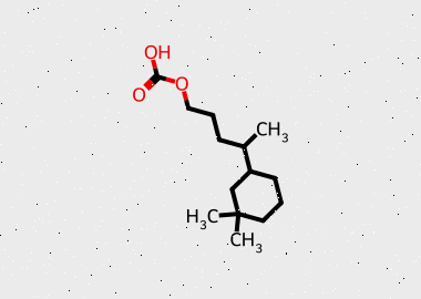 CC(CCCOC(=O)O)C1CCCC(C)(C)C1